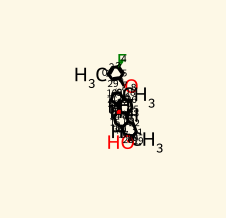 Cc1cc(F)cc(C(=O)[C@H]2CC[C@H]3[C@@H]4CC[C@@H]5C[C@](C)(O)CC[C@@H]5[C@H]4CC[C@]23C)c1